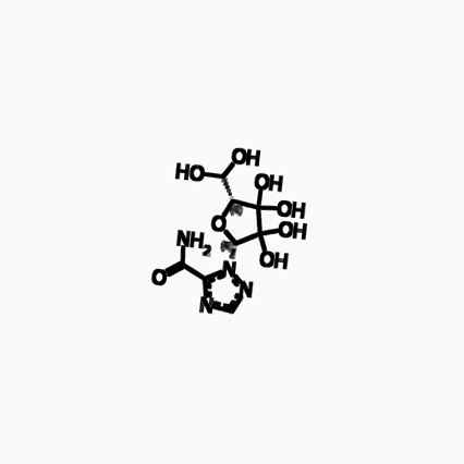 NC(=O)c1ncnn1[C@@H]1O[C@H](C(O)O)C(O)(O)C1(O)O